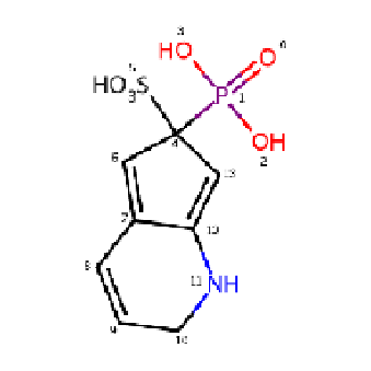 O=P(O)(O)C1(S(=O)(=O)O)C=C2C=CCNC2=C1